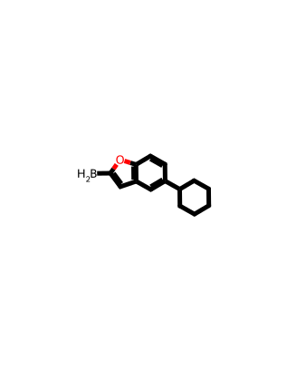 Bc1cc2cc(C3CCCCC3)ccc2o1